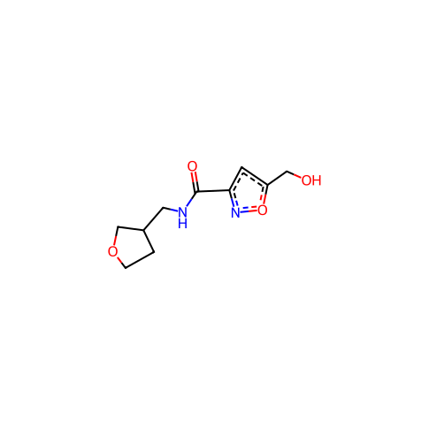 O=C(NCC1CCOC1)c1cc(CO)on1